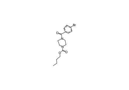 CCCCOC(=O)N1CCN(C(=O)c2ccc(Br)cc2)CC1